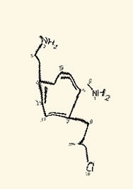 CN.NCc1ccc(CCCl)cc1